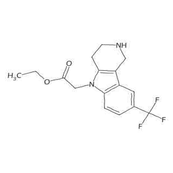 CCOC(=O)Cn1c2c(c3cc(C(F)(F)F)ccc31)CNCC2